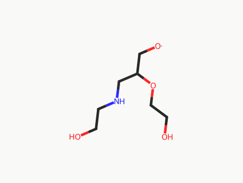 [O]CC(CNCCO)OCCO